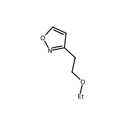 CCOCCc1ccon1